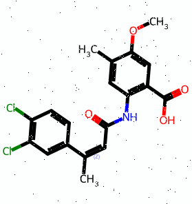 COc1cc(C(=O)O)c(NC(=O)/C=C(/C)c2ccc(Cl)c(Cl)c2)cc1C